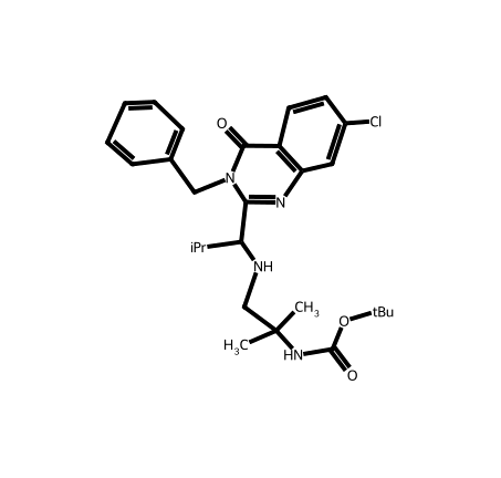 CC(C)C(NCC(C)(C)NC(=O)OC(C)(C)C)c1nc2cc(Cl)ccc2c(=O)n1Cc1ccccc1